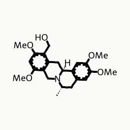 COc1cc2c(cc1OC)[C@@H]1Cc3c(CO)c(OC)cc(OC)c3CN1[C@@H](C)C2